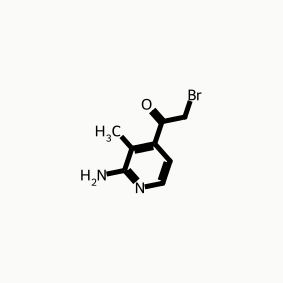 Cc1c(C(=O)CBr)ccnc1N